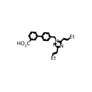 CCC=Cc1nc(C=CCC)n(Cc2ccc(-c3cccc(C(=O)O)c3)cc2)n1